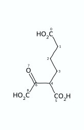 O=C(O)CCCC(C(=O)O)C(=O)C(=O)O